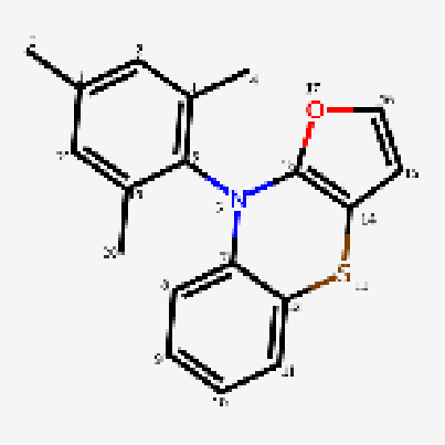 Cc1cc(C)c(N2c3ccccc3Sc3ccoc32)c(C)c1